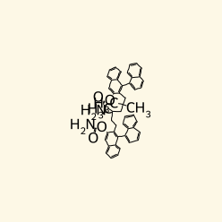 CC(CCc1c(OC(N)=O)cc2ccccc2c1-c1cccc2ccccc12)CC(C)(C)Cc1c(OC(N)=O)cc2ccccc2c1-c1cccc2ccccc12